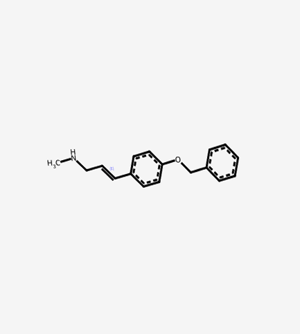 CNC/C=C/c1ccc(OCc2ccccc2)cc1